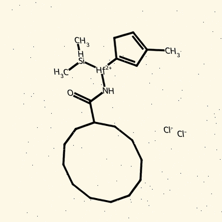 CC1=CC[C]([Hf+2]([NH]C(=O)C2CCCCCCCCCCC2)[SiH](C)C)=C1.[Cl-].[Cl-]